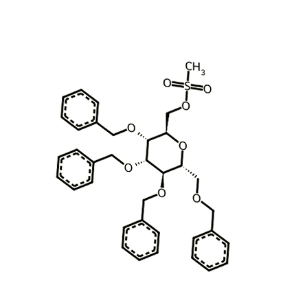 CS(=O)(=O)OC[C@H]1O[C@H](COCc2ccccc2)[C@@H](OCc2ccccc2)[C@H](OCc2ccccc2)[C@@H]1OCc1ccccc1